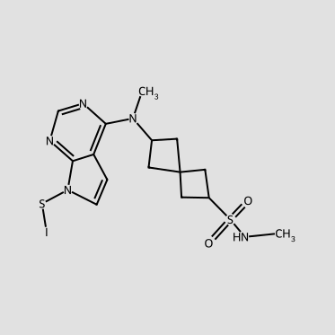 CNS(=O)(=O)C1CC2(CC(N(C)c3ncnc4c3ccn4SI)C2)C1